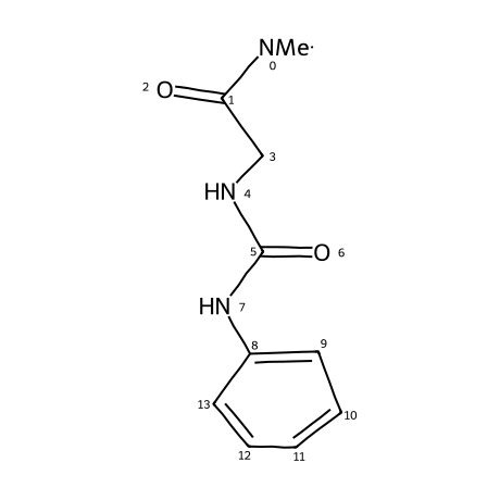 C[N]C(=O)CNC(=O)Nc1ccccc1